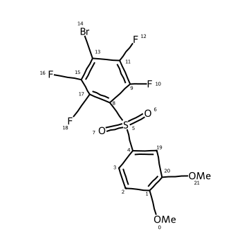 COc1ccc(S(=O)(=O)c2c(F)c(F)c(Br)c(F)c2F)cc1OC